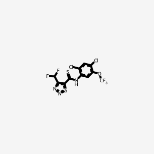 FC(F)c1nnsc1C(=S)Nc1cc(OC(F)(F)F)c(Cl)cc1Cl